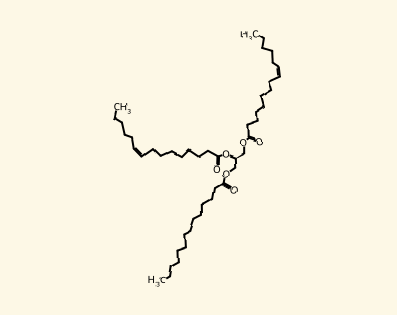 CCCCC/C=C\CCCCCCCC(=O)OC[C@@H](COC(=O)CCCCCCCCCCCCC)OC(=O)CCCCCCC/C=C\CCCCC